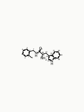 Cc1ccccc1CNC(=O)[C@H](N)Cc1c[nH]c2ccccc12